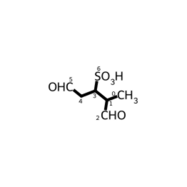 CC(C=O)C(CC=O)S(=O)(=O)O